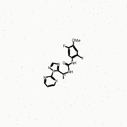 COc1cc(F)c(NC(=O)N[C@@H](C)c2ncnn2-c2ncccn2)cc1F